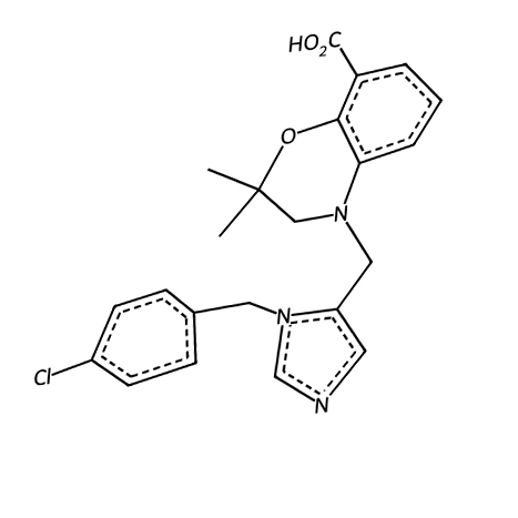 CC1(C)CN(Cc2cncn2Cc2ccc(Cl)cc2)c2cccc(C(=O)O)c2O1